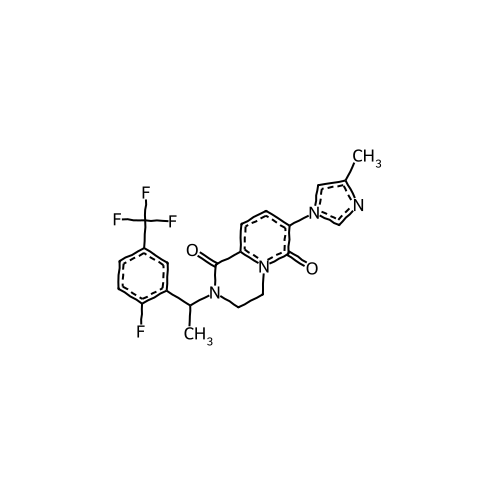 Cc1cn(-c2ccc3n(c2=O)CCN(C(C)c2cc(C(F)(F)F)ccc2F)C3=O)cn1